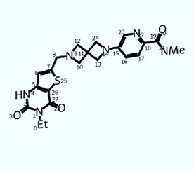 CCn1c(=O)[nH]c2cc(CN3CC4(C3)CN(c3ccc(C(=O)NC)nc3)C4)sc2c1=O